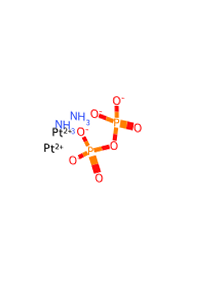 N.N.O=P([O-])([O-])OP(=O)([O-])[O-].[Pt+2].[Pt+2]